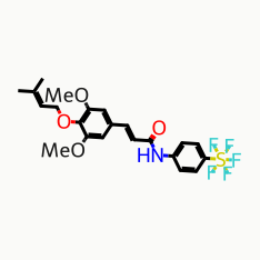 COc1cc(/C=C/C(=O)Nc2ccc(S(F)(F)(F)(F)F)cc2)cc(OC)c1OCC=C(C)C